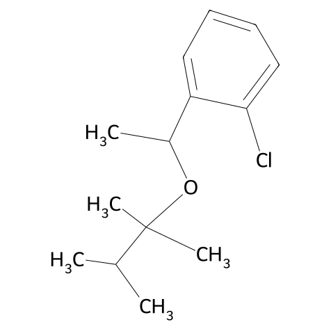 CC(OC(C)(C)C(C)C)c1ccccc1Cl